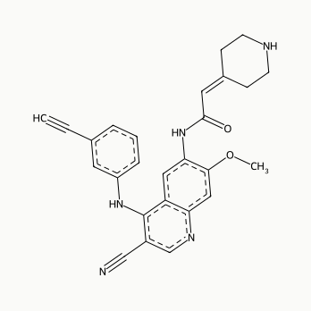 C#Cc1cccc(Nc2c(C#N)cnc3cc(OC)c(NC(=O)C=C4CCNCC4)cc23)c1